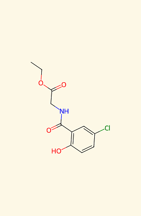 CCOC(=O)CNC(=O)c1cc(Cl)ccc1O